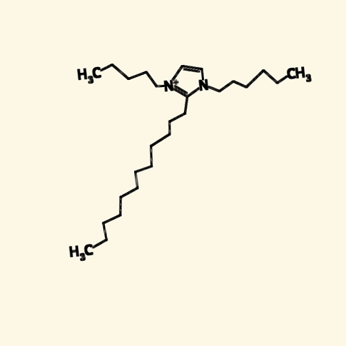 CCCCCCCCCCCCc1n(CCCCCC)cc[n+]1CCCCC